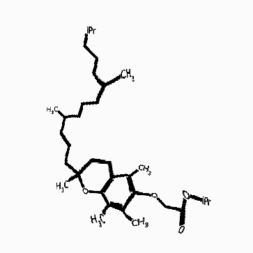 Cc1c(C)c2c(c(C)c1OCC(=O)OC(C)C)CCC(C)(CCCC(C)CCCC(C)CCCC(C)C)O2